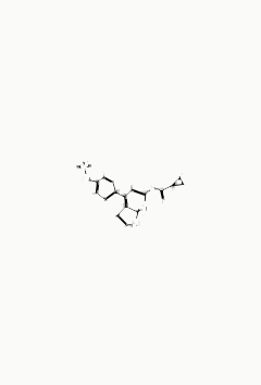 CCS(=O)(=O)Nc1ccc(-c2cc(NC(=S)C3CC3)nc3[nH]ccc23)cc1